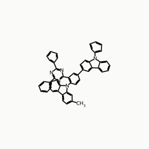 Cc1ccc2c3ccccc3n(-c3ccc(-c4ccc5c(c4)c4ccccc4n5-c4ccccc4)cc3-c3nc(-c4ccccc4)nc(-c4ccccc4)n3)c2c1